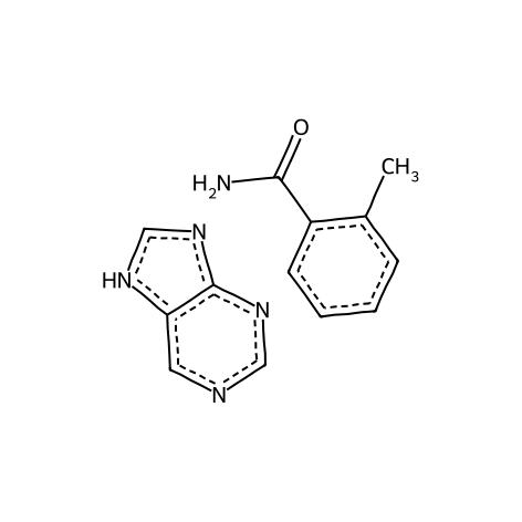 Cc1ccccc1C(N)=O.c1ncc2[nH]cnc2n1